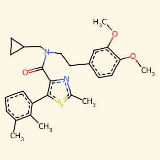 COc1ccc(CCN(CC2CC2)C(=O)c2nc(C)sc2-c2cccc(C)c2C)cc1OC